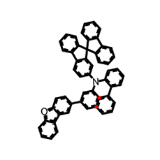 c1ccc(-c2ccccc2N(c2cccc(-c3ccc4oc5ccccc5c4c3)c2)c2ccc3c(c2)C2(c4ccccc4-c4ccccc42)c2ccccc2-3)cc1